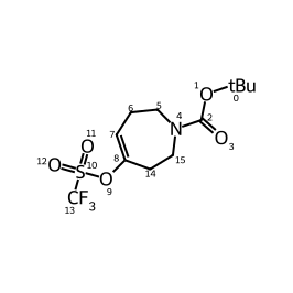 CC(C)(C)OC(=O)N1CCC=C(OS(=O)(=O)C(F)(F)F)CC1